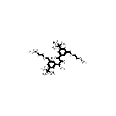 COCCOCc1cc(C(C)C(=O)C(C)c2cc(COCCOC)cc(C(C)(C)C)c2)cc(C(C)(C)C)c1